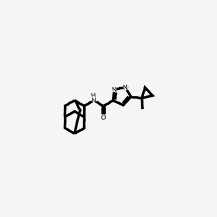 CC1(C2=CC(C(=O)NC3C4CC5CC(C4)CC3C5)=N[N]2)CC1